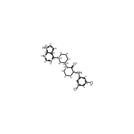 O=C1C(Nc2cc(Cl)cc(Cl)c2)CCCN1[C@@H]1CCCN(c2ncnc3[nH]ccc23)C1